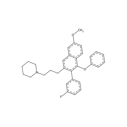 COc1ccc2c(Oc3ccccc3)c(-c3cccc(F)c3)c(CCCN3CCCCC3)cc2c1